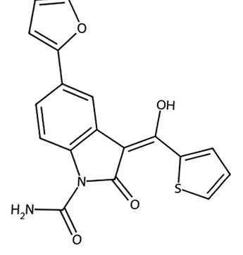 NC(=O)N1C(=O)C(=C(O)c2cccs2)c2cc(-c3ccco3)ccc21